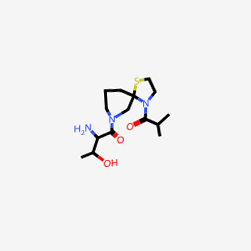 CC(C)C(=O)N1CCSC12CCCN(C(=O)C(N)C(C)O)C2